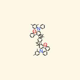 Cc1ccc(N(c2ccccc2)c2cc3c(c4c2oc2ccccc24)-c2cc4c(cc2[Si]3(C)C)-c2c(cc(N(c3ccccc3)c3ccc(C)cc3C)c3c2oc2ccccc23)[Si]4(C)C)c(C)c1